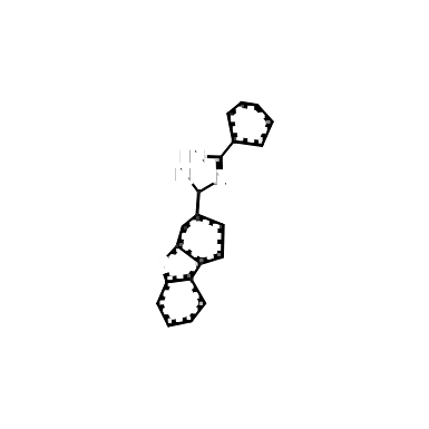 c1ccc(C2=NC(c3ccc4c(c3)sc3ccccc34)NN2)cc1